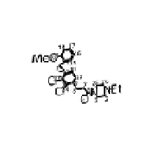 CCN1CCN(C(=O)C=Cc2ccc(Sc3ccccc3OC)c(Cl)c2Cl)CC1